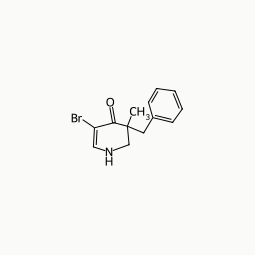 CC1(Cc2ccccc2)CNC=C(Br)C1=O